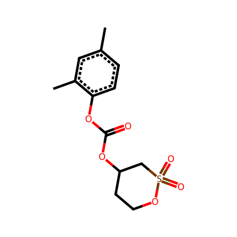 Cc1ccc(OC(=O)OC2CCOS(=O)(=O)C2)c(C)c1